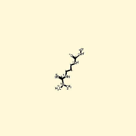 CCNC(=O)NCCCNC(=P)N(C)C